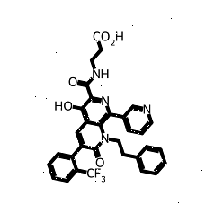 O=C(O)CCNC(=O)c1nc(-c2cccnc2)c2c(cc(-c3ccccc3C(F)(F)F)c(=O)n2CCc2ccccc2)c1O